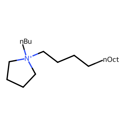 CCCCCCCCCCCC[N+]1(CCCC)CCCC1